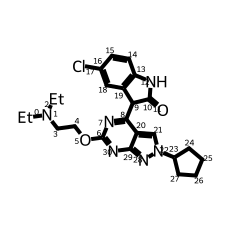 CCN(CC)CCOc1nc(C2C(=O)Nc3ccc(Cl)cc32)c2cn(C3CCCC3)nc2n1